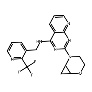 FC(F)(F)c1ncccc1CNc1nc(N2CCOC3CC32)nc2ncccc12